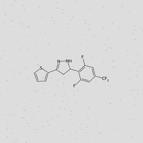 Fc1cc(C(F)(F)F)cc(F)c1C1CC(c2cccs2)=NN1